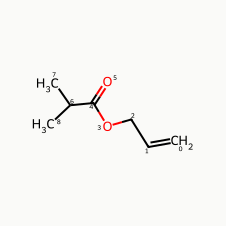 C=CCOC(=O)C(C)C